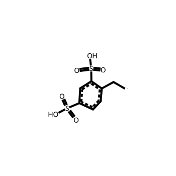 [CH2]Cc1ccc(S(=O)(=O)O)cc1S(=O)(=O)O